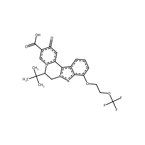 CC(C)(C)C1Cn2nc3c(OCCOC(F)(F)F)cccc3c2-c2cc(=O)c(C(=O)O)cn21